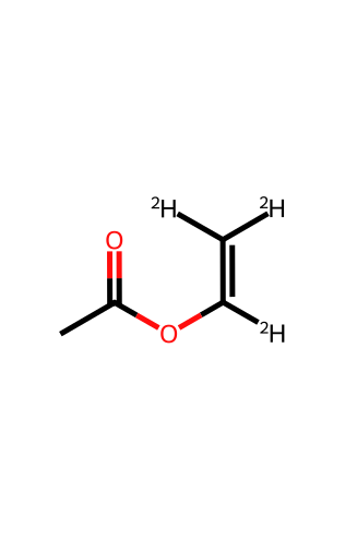 [2H]C([2H])=C([2H])OC(C)=O